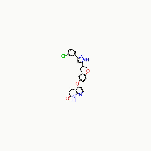 O=C1CCc2c(Oc3ccc4c(c3)CC(c3cc(-c5cccc(Cl)c5)n[nH]3)CO4)ccnc2N1